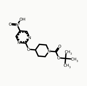 CC(C)(C)OC(=O)N1CCC(Oc2ncc([N+](=O)O)cn2)CC1